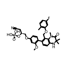 COc1cc(OC[C@H](CC#N)OP(=O)(O)O)ccc1-c1ccc2c(c1COc1cc(F)ccc1C)N(C)C(=O)C(C)(C)N2